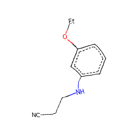 CCOc1cccc(NCCC#N)c1